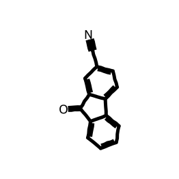 N#Cc1ccc2c(c1)C(=O)c1ccccc1-2